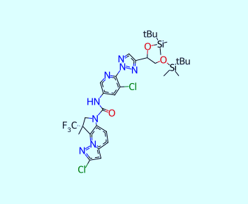 CC(C)(C)[Si](C)(C)OCC(O[Si](C)(C)C(C)(C)C)c1cnn(-c2ncc(NC(=O)N3C[C@@](C)(C(F)(F)F)c4c3ccc3cc(Cl)nn43)cc2Cl)n1